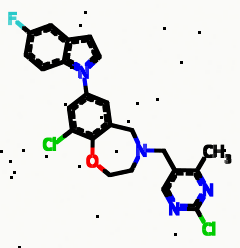 Cc1nc(Cl)ncc1CN1CCOc2c(Cl)cc(-n3ccc4cc(F)ccc43)cc2C1